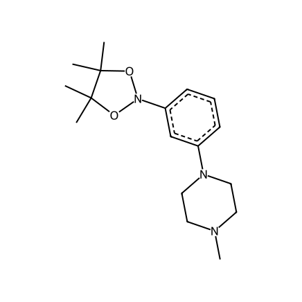 CN1CCN(c2cccc(N3OC(C)(C)C(C)(C)O3)c2)CC1